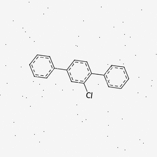 Clc1cc(-c2ccccc2)ccc1-c1ccccc1